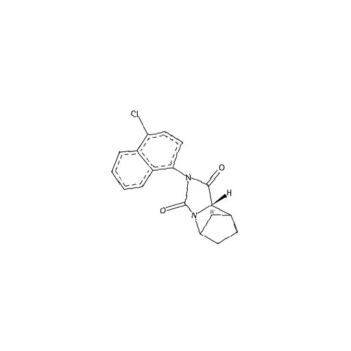 O=C1[C@@H]2C3CCC(C3)N2C(=O)N1c1ccc(Cl)c2ccccc12